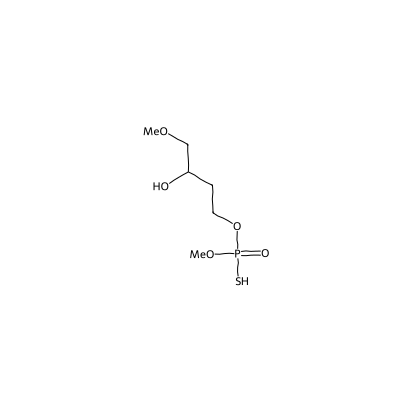 COCC(O)CCOP(=O)(S)OC